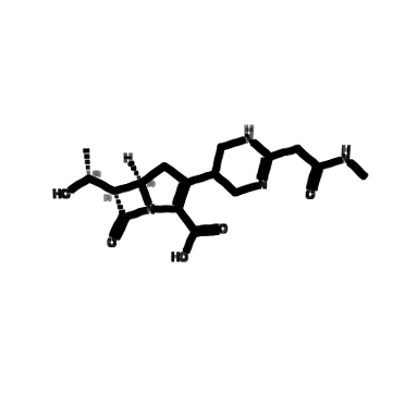 CNC(=O)CC1=NCC(C2=C(C(=O)O)N3C(=O)[C@H]([C@@H](C)O)[C@H]3C2)CN1